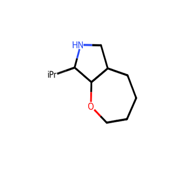 CC(C)C1NCC2CCCCOC21